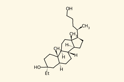 CC[C@]1(O)CC[C@@]2(C)[C@@H](CC[C@@H]3[C@@H]2CC[C@]2(C)[C@@H]([C@H](C)CCCO)CC[C@@H]32)C1